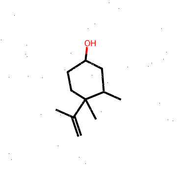 C=C(C)C1(C)CCC(O)CC1C